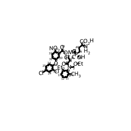 CCOCN(C(=O)CCl)c1c(C)cccc1CC.COC(=O)c1cc(Oc2ccc(Cl)cc2Cl)ccc1[N+](=O)[O-].CP(=O)(O)CCC(N)C(=O)O